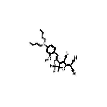 CCCCN(CCCC)c1ccc(/C=C/C2=C(C#N)C(=C(C#N)C#N)OC2(C)C(F)(F)F)c(OC)c1